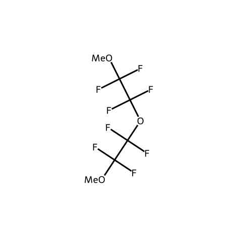 COC(F)(F)C(F)(F)OC(F)(F)C(F)(F)OC